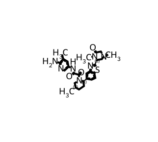 CCc1cc(NC(=O)C(=O)N2C[C@@H](C)CC[C@@H]2c2ccc3sc([C@@H]4CN(C)CC(=O)N4C)nc3c2)cnc1N